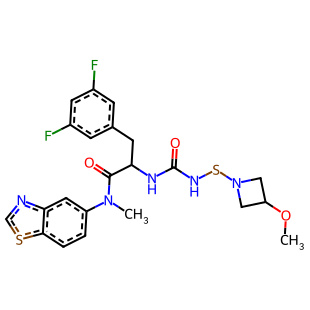 COC1CN(SNC(=O)NC(Cc2cc(F)cc(F)c2)C(=O)N(C)c2ccc3scnc3c2)C1